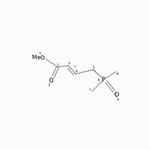 COC(=O)/C=C/CP(C)(C)=O